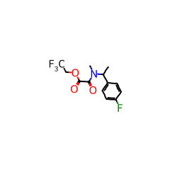 CC(c1ccc(F)cc1)N(C)C(=O)C(=O)OCC(F)(F)F